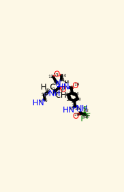 CC(C)(N/C=C\C=N)C(=O)N1CCOC[C@@H]1CNC(=O)c1ccc(C(=N)NC(=O)C(F)(F)F)cc1